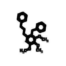 COc1[c]c(CCCc2ccccc2)c(Cc2ccccc2)c(OC)c1OC